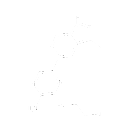 Cc1n[nH]c2ccc(-c3cnc(N)c(NCCN)n3)cc12